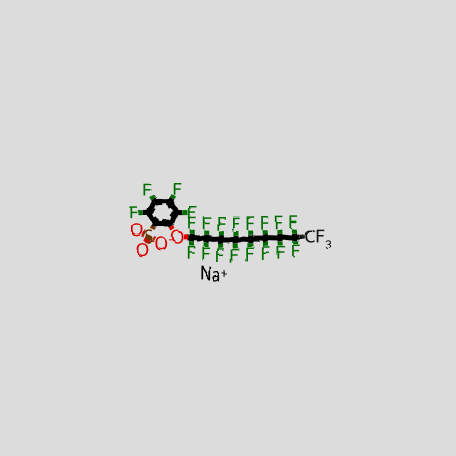 O=S(=O)([O-])c1c(F)c(F)c(F)c(F)c1OC(F)(F)C(F)(F)C(F)(F)C(F)(F)C(F)(F)C(F)(F)C(F)(F)C(F)(F)C(F)(F)F.[Na+]